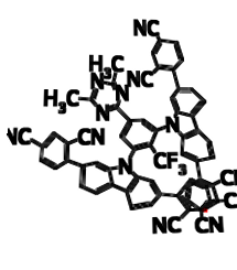 Cc1nc(C)nc(-c2cc(-n3c4cc(-c5ccc(C#N)cc5C#N)ccc4c4ccc(-c5ccc(C#N)cc5C#N)cc43)c(C(F)(F)F)c(-n3c4cc(-c5ccc(C#N)cc5C#N)ccc4c4ccc(-c5ccc(C#N)cc5C#N)cc43)c2)n1